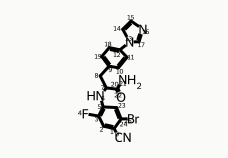 N#Cc1cc(F)c(NC(Cc2ccc(-n3ccnc3)cc2)C(N)=O)cc1Br